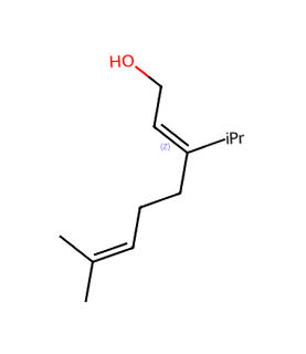 CC(C)=CCC/C(=C/CO)C(C)C